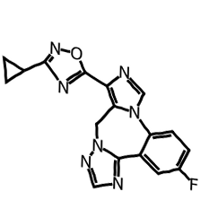 Fc1ccc2c(c1)-c1ncnn1Cc1c(-c3nc(C4CC4)no3)ncn1-2